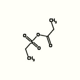 CCC(=O)OS(=O)(=O)CC